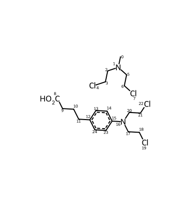 CN(CCCl)CCCl.O=C(O)CCCc1ccc(N(CCCl)CCCl)cc1